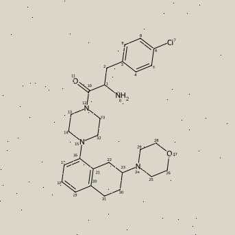 NC(Cc1ccc(Cl)cc1)C(=O)N1CCN(c2cccc3c2CC(N2CCOCC2)CC3)CC1